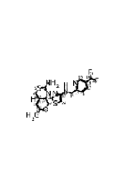 C[C@H]1C[C@H]2CSC(N)=N[C@@]2(c2nc(NCc3ccc(C(F)F)cn3)cs2)CO1